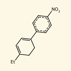 CCC1=CC=C(c2ccc([N+](=O)[O-])cc2)CC1